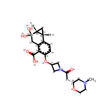 CN1CCO[C@H](CC(=O)N2CC(Oc3ccc4c(c3C(=O)O)C[B-](O)(O)[C@@H]3C[C@H]43)C2)C1